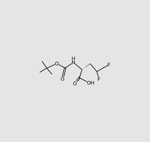 CC(C)(C)OC(=O)N[C@H](CC(F)F)C(=O)O